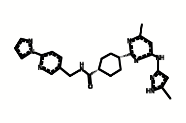 Cc1cc(Nc2cc(C)[nH]n2)nc([C@H]2CC[C@@H](C(=O)NCc3ccc(-n4cccn4)nc3)CC2)n1